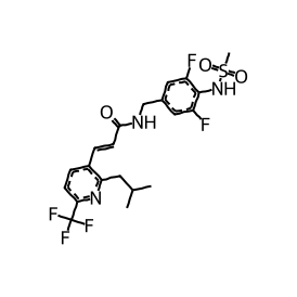 CC(C)Cc1nc(C(F)(F)F)ccc1/C=C/C(=O)NCc1cc(F)c(NS(C)(=O)=O)c(F)c1